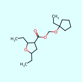 CCC1CC(C(=O)OCOC2(CC)CCCC2)C(CC)O1